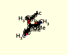 C/C=C1\C[C@H]2C=Nc3cc(OCc4cc(OCCN(CCOCCOCCOCCC(C)=O)CCN(C)C)cc(COc5cc6c(cc5OC)C(=O)N5C/C(=C/C)C[C@H]5C=N6)n4)c(OC)cc3C(=O)N2C1